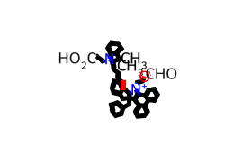 CC1(C)\C(=C/C=C/C=C/C2=[N+](CCOC=O)c3c(c4ccccc4c4ccccc34)C2(Cc2ccccc2)Cc2ccccc2)N(CCC(=O)O)c2ccccc21